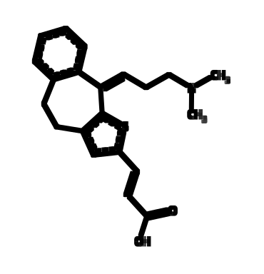 CN(C)CCC=C1c2ccccc2CCc2cc(C=CC(=O)O)sc21